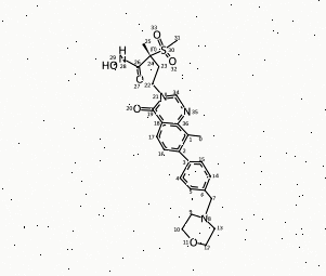 Cc1c(-c2ccc(CN3CCOCC3)cc2)ccc2c(=O)n(CC[C@](C)(C(=O)NO)S(C)(=O)=O)cnc12